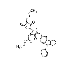 CCCCN1C(=O)/C(=c2\s/c(=C/c3ccc4c(c3)C3CCCC3N4c3ccccc3)c(=O)n2CC(=O)OCC)SC1=S